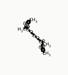 C=C(CS(=O)(=O)c1ccc(C)cc1)C(=O)OCCOCCOCCOCCOC(=O)C(=C)CS(=O)(=O)c1ccc(C)cc1